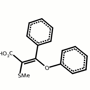 CS/C(C(=O)O)=C(\Oc1ccccc1)c1ccccc1